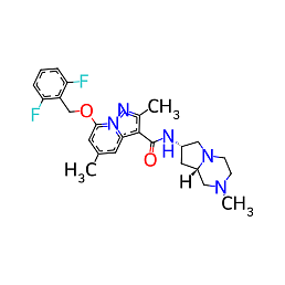 Cc1cc(OCc2c(F)cccc2F)n2nc(C)c(C(=O)N[C@H]3C[C@H]4CN(C)CCN4C3)c2c1